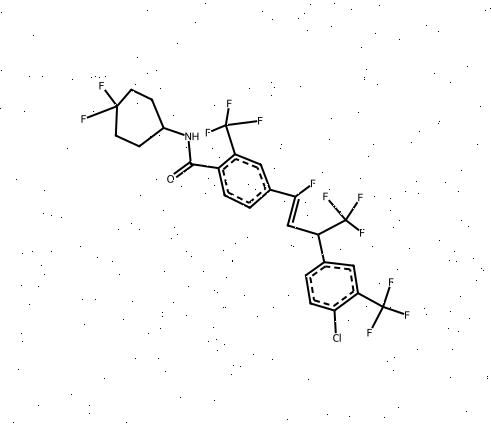 O=C(NC1CCC(F)(F)CC1)c1ccc(/C(F)=C/C(c2ccc(Cl)c(C(F)(F)F)c2)C(F)(F)F)cc1C(F)(F)F